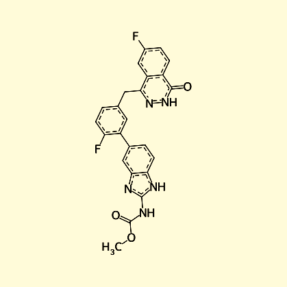 COC(=O)Nc1nc2cc(-c3cc(Cc4n[nH]c(=O)c5ccc(F)cc45)ccc3F)ccc2[nH]1